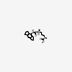 COC(=O)N(C)CCCS(=O)(=O)NC(=O)Nc1c2c(cc3c1CCC3)CCC2